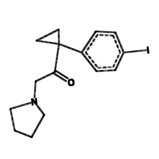 O=C(CN1CCCC1)C1(c2ccc(I)cc2)CC1